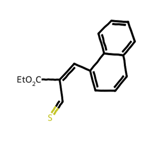 CCOC(=O)C(C=S)=Cc1cccc2ccccc12